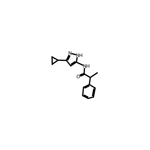 CC(C(=O)Nc1cc(C2CC2)n[nH]1)c1ccccc1